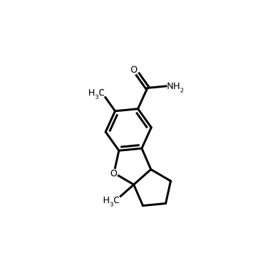 Cc1cc2c(cc1C(N)=O)C1CCCC1(C)O2